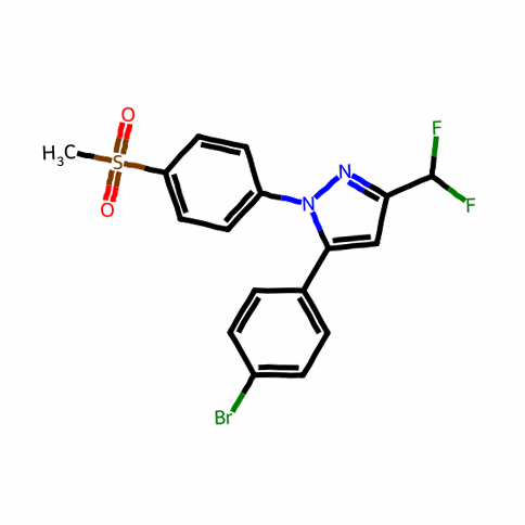 CS(=O)(=O)c1ccc(-n2nc(C(F)F)cc2-c2ccc(Br)cc2)cc1